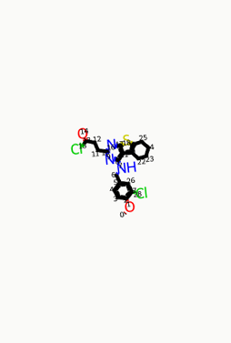 COc1ccc(CNc2nc(CCC(=O)Cl)nc3sc4c(c23)CCCC4)cc1Cl